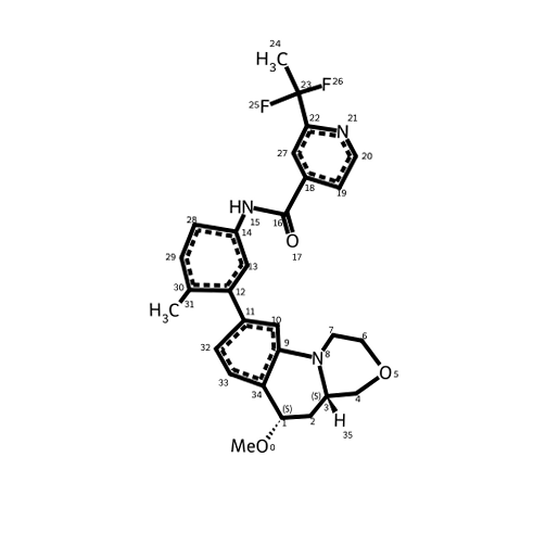 CO[C@H]1C[C@H]2COCCN2c2cc(-c3cc(NC(=O)c4ccnc(C(C)(F)F)c4)ccc3C)ccc21